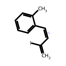 C=C(I)/C=C\c1ccccc1C